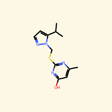 Cc1cc(O)nc(SCn2nccc2C(C)C)n1